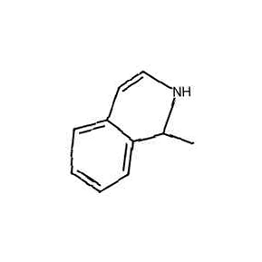 CC1NC=Cc2ccccc21